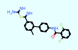 Cc1ccc(C(=N)SC(=N)N)cc1-c1ccc(NC(=O)c2c(F)cccc2F)cc1